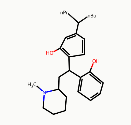 CCCCC(CCC)c1ccc(C(CC2CCCCN2C)c2ccccc2O)c(O)c1